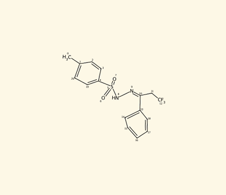 Cc1ccc(S(=O)(=O)NN=C(CC(F)(F)F)c2ccccc2)cc1